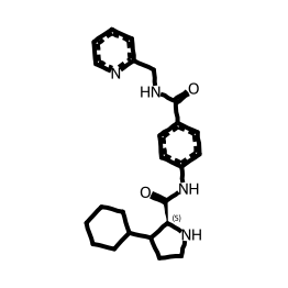 O=C(NCc1ccccn1)c1ccc(NC(=O)[C@H]2NCCC2C2CCCCC2)cc1